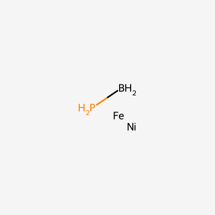 BP.[Fe].[Ni]